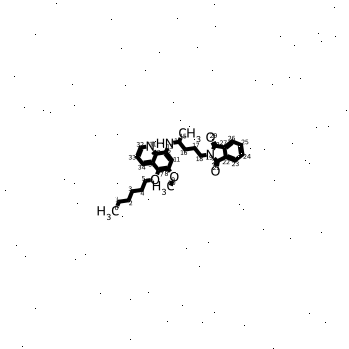 CCCCCCOc1c(OC)cc(NC(C)CCCN2C(=O)c3ccccc3C2=O)c2ncccc12